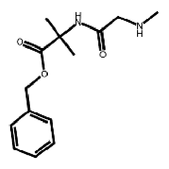 CNCC(=O)NC(C)(C)C(=O)OCc1ccccc1